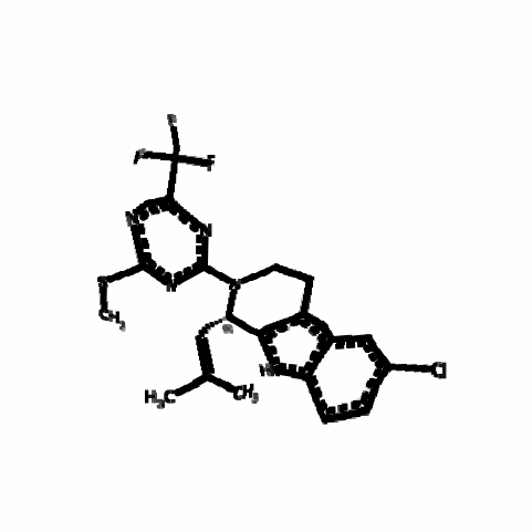 CSc1nc(N2CCc3c([nH]c4ccc(Cl)cc34)[C@@H]2C=C(C)C)nc(C(F)(F)F)n1